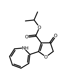 CC(C)OC(=O)C1=C(C2=CC=CC=CN2)OCC1=O